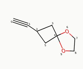 C#CC1CC2(C1)OCCO2